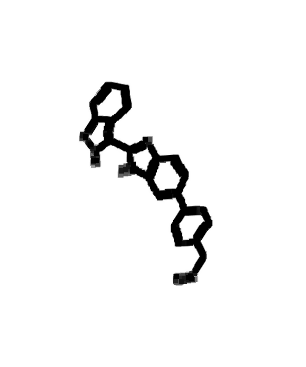 O=CCc1ccc(-c2ccc3nc(-c4[nH]nc5ccccc45)[nH]c3c2)cc1